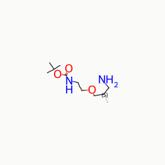 C[C@@H](CN)COCCNC(=O)OC(C)(C)C